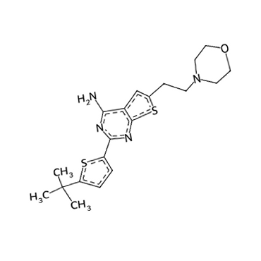 CC(C)(C)c1ccc(-c2nc(N)c3cc(CCN4CCOCC4)sc3n2)s1